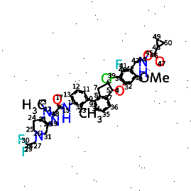 COc1cc(OC2CCc3c(-c4cccc(NC(=O)c5nc6c(n5C)CCN(CC(F)F)C6)c4C)cccc32)c(Cl)c(F)c1CNOC(=O)C1CC1